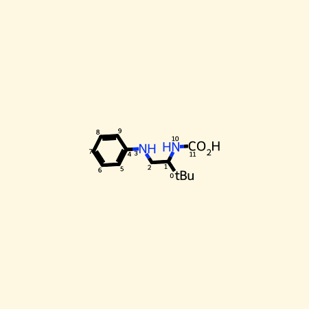 CC(C)(C)C(CNc1ccccc1)NC(=O)O